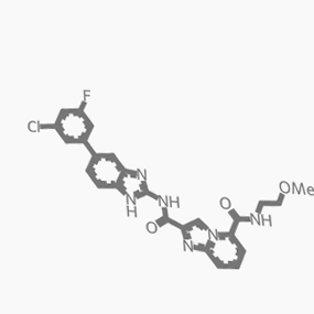 COCCNC(=O)c1cccc2nc(C(=O)Nc3nc4cc(-c5cc(F)cc(Cl)c5)ccc4[nH]3)cn12